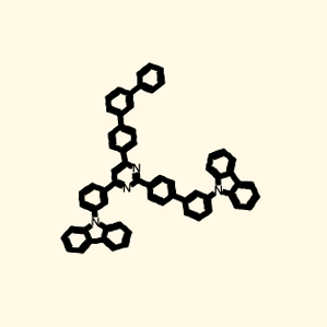 c1ccc(-c2cccc(-c3ccc(-c4cc(-c5cccc(-n6c7ccccc7c7ccccc76)c5)nc(-c5ccc(-c6cccc(-n7c8ccccc8c8ccccc87)c6)cc5)n4)cc3)c2)cc1